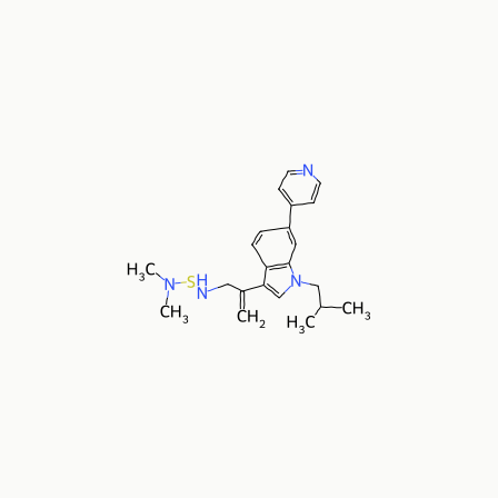 C=C(CNSN(C)C)c1cn(CC(C)C)c2cc(-c3ccncc3)ccc12